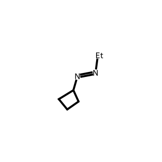 CCN=NC1CCC1